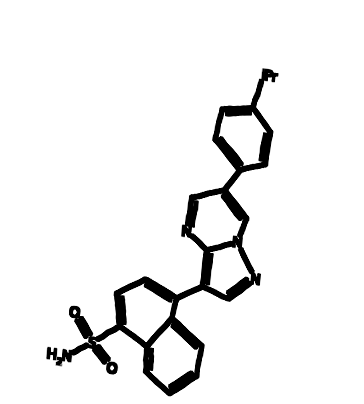 CC(C)c1ccc(-c2cnc3c(-c4ccc(S(N)(=O)=O)c5ccccc45)cnn3c2)cc1